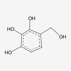 OCc1ccc(O)c(O)c1O